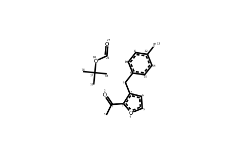 CC(=O)c1occc1Cc1ccc(F)cc1.CC(C)(C)OC=O